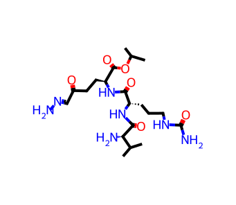 CC(C)OC(=O)[C@H](CCC(=O)/C=N/N)NC(=O)[C@H](CCCNC(N)=O)NC(=O)[C@@H](N)C(C)C